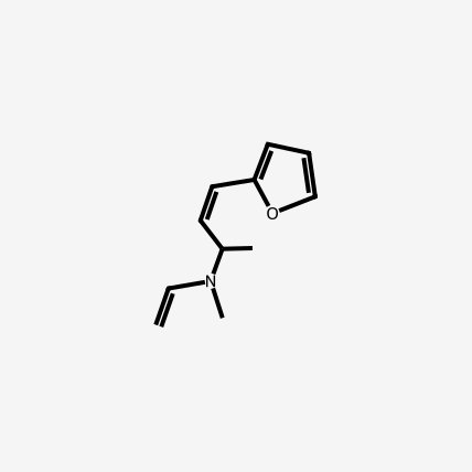 C=CN(C)C(C)/C=C\c1ccco1